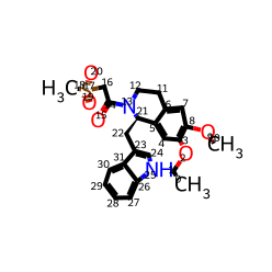 CCOc1cc2c(cc1OC)CCN(C(=O)CS(C)(=O)=O)[C@@H]2Cc1c[nH]c2ccccc12